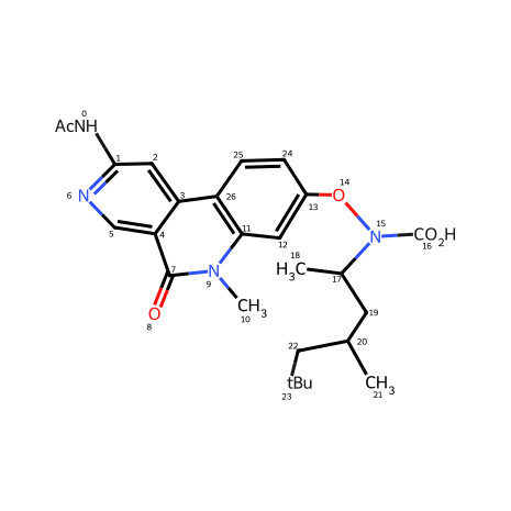 CC(=O)Nc1cc2c(cn1)c(=O)n(C)c1cc(ON(C(=O)O)C(C)CC(C)CC(C)(C)C)ccc21